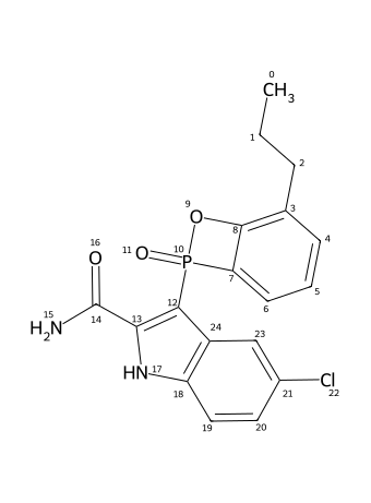 CCCc1cccc2c1OP2(=O)c1c(C(N)=O)[nH]c2ccc(Cl)cc12